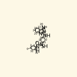 Cc1ccc(NC(=O)N(S)C2CCC(Nc3nc(N(C)C)c4ccccc4n3)CC2)c(C)c1